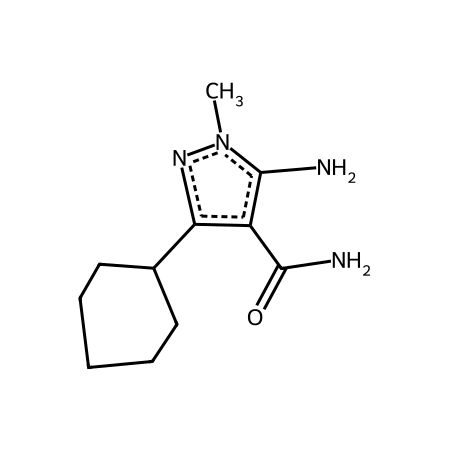 Cn1nc(C2CCCCC2)c(C(N)=O)c1N